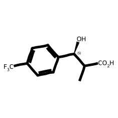 CC(C(=O)O)[C@H](O)c1ccc(C(F)(F)F)cc1